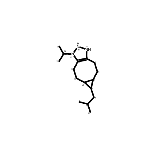 CC(C)CC1C2CCC3=C(CCC21)N(C(C)C)NN3